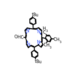 Cc1cc(C)c(C2=C3C=CC(=N3)C(c3ccc(C(C)(C)C)cc3)=C3C=CC(=N3)C(C=O)=C3C=CC(=N3)C(c3ccc(C(C)(C)C)cc3)=C3C=CC2=N3)c(C)c1